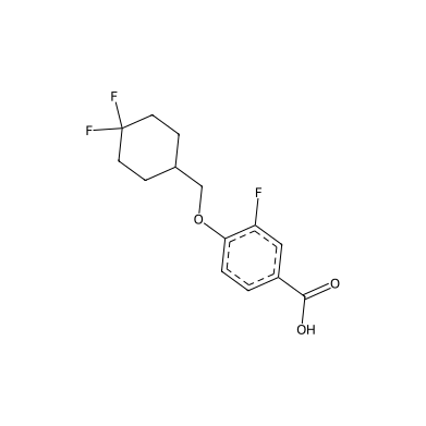 O=C(O)c1ccc(OCC2CCC(F)(F)CC2)c(F)c1